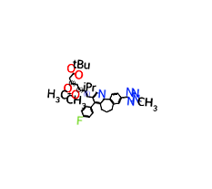 CC(C)c1nc2c(c(-c3ccc(F)cc3)c1/C=C/[C@@H]1C[C@H](CC(=O)OC(C)(C)C)OC(C)(C)O1)CCCc1cc(-c3nnn(C)n3)ccc1-2